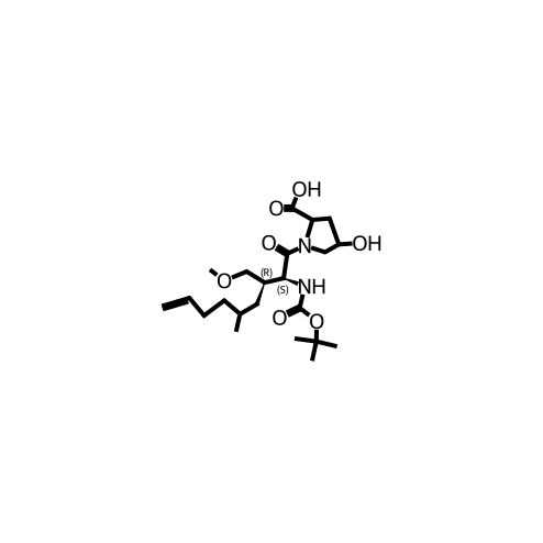 C=CCCC(C)C[C@@H](COC)[C@H](NC(=O)OC(C)(C)C)C(=O)N1CC(O)CC1C(=O)O